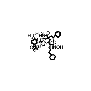 CCCC(CCc1ccccc1)(C(=O)NN)C(=O)[C@@H]([C@H](CCCC1CCCCC1)C(=O)NO)N1CN(C)C=N1.Cc1ccc(S(=O)(=O)O)cc1